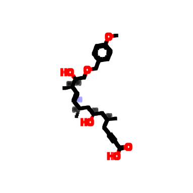 COc1ccc(COC[C@H](O)[C@H](C)/C=C/[C@@H](C)C[C@@H](O)C[C@@H](C)CC#CC(=O)O)cc1